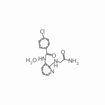 NC(=O)CNc1ncccc1NC(=O)c1ccc(Cl)cc1.O